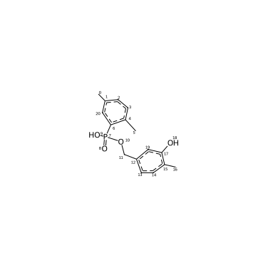 Cc1ccc(C)c(P(=O)(O)OCc2ccc(C)c(O)c2)c1